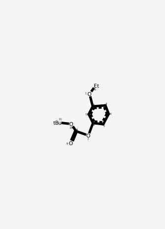 CCOc1c[c]cc(OC(=O)OC(C)(C)C)c1